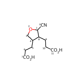 N#CC1OCC(CCC(=O)O)C1CCC(=O)O